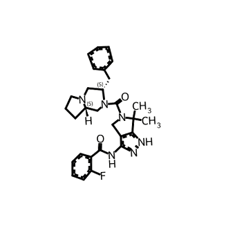 CC1(C)c2[nH]nc(NC(=O)c3ccccc3F)c2CN1C(=O)N1C[C@@H]2CCCN2C[C@@H]1Cc1ccccc1